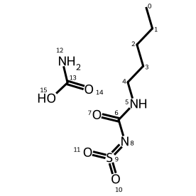 CCCCCNC(=O)N=S(=O)=O.NC(=O)O